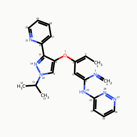 C=N/C(=C\C(=C/C)Oc1cn(C(C)C)nc1-c1ccccn1)Nc1cccnn1